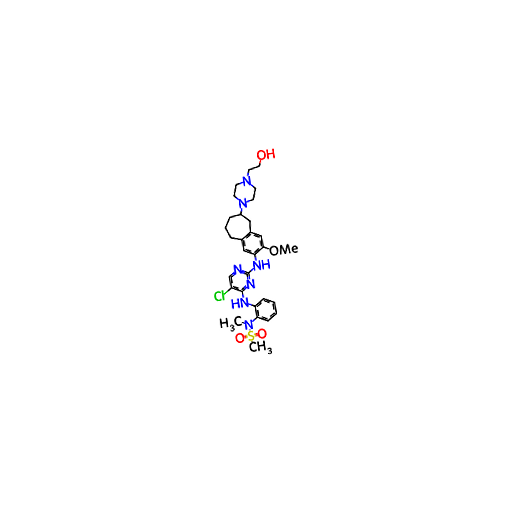 COc1cc2c(cc1Nc1ncc(Cl)c(Nc3ccccc3N(C)S(C)(=O)=O)n1)CCCC(N1CCN(CCO)CC1)C2